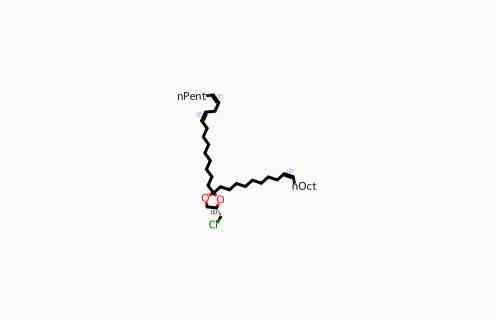 CCCCC/C=C\C/C=C\CCCCCCCCC1(CCCCCCCC/C=C\CCCCCCCC)OC[C@@H](CCl)O1